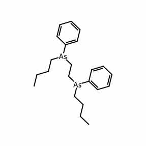 CCCC[As](CC[As](CCCC)c1ccccc1)c1ccccc1